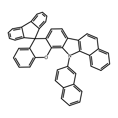 c1ccc2c(c1)Oc1c(ccc3c4ccc5ccccc5c4n(-c4ccc5ccccc5c4)c13)C21c2ccccc2-c2ccccc21